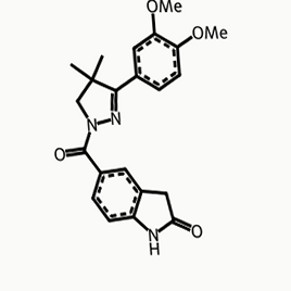 COc1ccc(C2=NN(C(=O)c3ccc4c(c3)CC(=O)N4)CC2(C)C)cc1OC